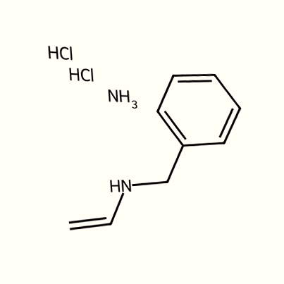 C=CNCc1ccccc1.Cl.Cl.N